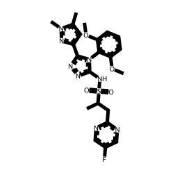 COc1cccc(OC)c1-n1c(NS(=O)(=O)C(C)Cc2ncc(F)cn2)nnc1-c1cc(C)n(C)n1